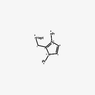 CCCCCCCCc1n(C(C)C)cc[n+]1CCC